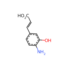 Nc1ccc(/C=C/C(=O)O)cc1O